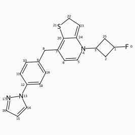 FC1CC(N2C=CC(Cc3ccc(-n4cccn4)cc3)=C3SCC=C32)C1